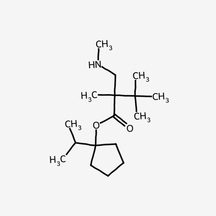 CNCC(C)(C(=O)OC1(C(C)C)CCCC1)C(C)(C)C